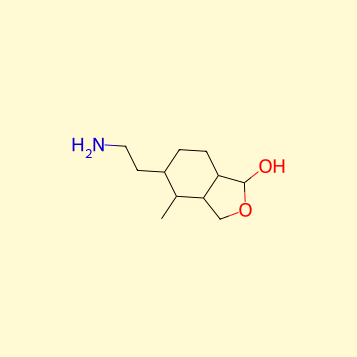 CC1C(CCN)CCC2C(O)OCC12